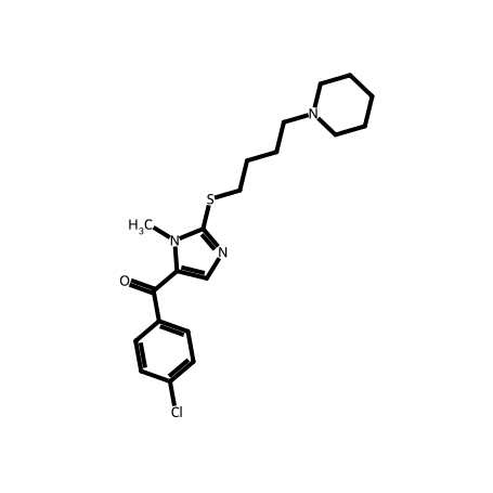 Cn1c(C(=O)c2ccc(Cl)cc2)cnc1SCCCCN1CCCCC1